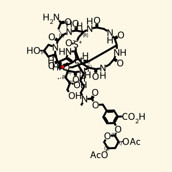 CC[C@@H]1C(CCCCN(C)C(=O)OCc2ccc(O[C@@H]3OC[C@@H](OC(C)=O)C[C@H]3OC(C)=O)c(C(=O)O)c2)COc2ccc3c4c([nH]c3c2)[S+]([O-])C[C@@H]2NC(=O)CNC(=O)C1NC(=O)CNC(=O)[C@H](C4)NC(=O)[C@H]([C@@H](C)[C@@H](O)CO)NC(=O)[C@@H]1C[C@@H](O)CN1C(=O)[C@H](CC(N)=O)NC2=O